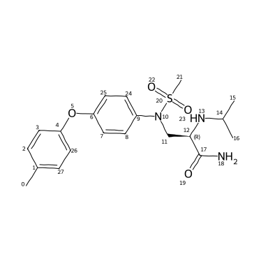 Cc1ccc(Oc2ccc(N(C[C@@H](NC(C)C)C(N)=O)S(C)(=O)=O)cc2)cc1